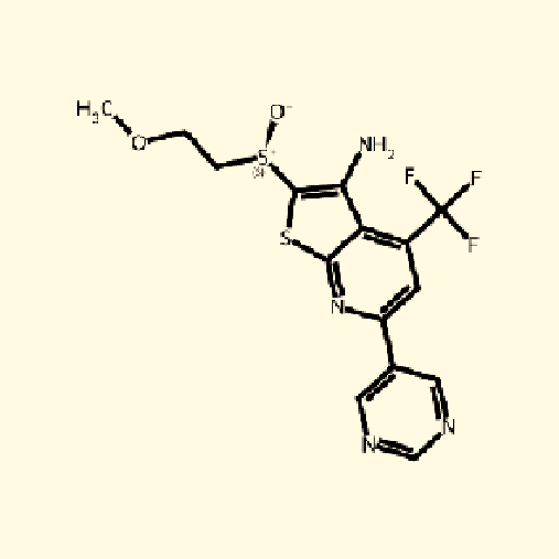 COCC[S@@+]([O-])c1sc2nc(-c3cncnc3)cc(C(F)(F)F)c2c1N